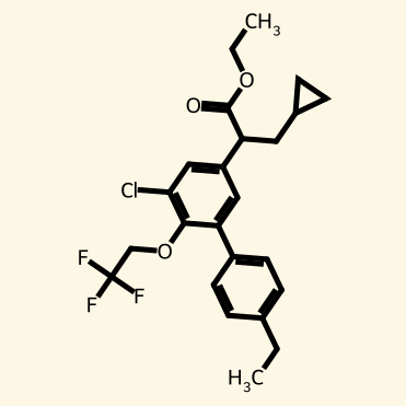 CCOC(=O)C(CC1CC1)c1cc(Cl)c(OCC(F)(F)F)c(-c2ccc(CC)cc2)c1